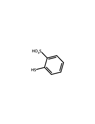 O=S(=O)(O)c1ccccc1S